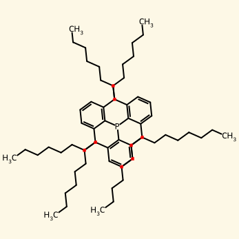 CCCCCCCCc1cccc(CCCCCCCC)c1P(c1c(CCCCCCCC)cccc1CCCCCCCC)c1c(CCCCCCCC)cccc1CCCCCCCC